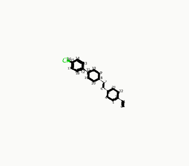 C=C[C@H]1CC[C@H](CC[C@H]2CC[C@H](c3ccc(Cl)cc3)CC2)CC1